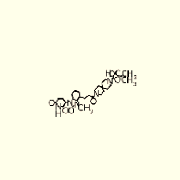 Cn1c(=O)n(C2CCC(=O)NC2=O)c2cccc(CCC(=O)N3CCC4(CC3)CCN(C(=O)OC(C)(C)C)CC4)c21